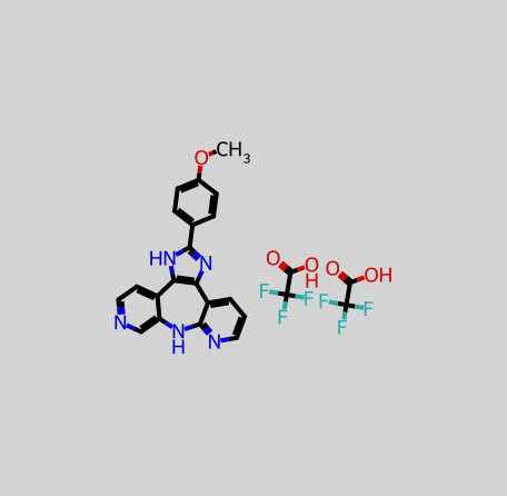 COc1ccc(-c2nc3c([nH]2)-c2ccncc2Nc2ncccc2-3)cc1.O=C(O)C(F)(F)F.O=C(O)C(F)(F)F